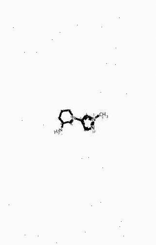 Cn1cc(N2CCCC(N)C2)cn1